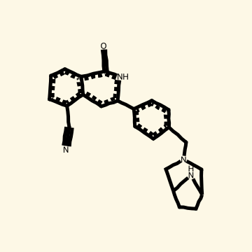 N#Cc1cccc2c(=O)[nH]c(-c3ccc(CN4CC5CCC(C4)N5)cc3)cc12